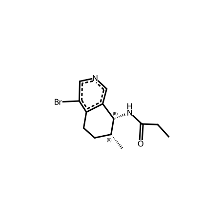 CCC(=O)N[C@H]1c2cncc(Br)c2CC[C@H]1C